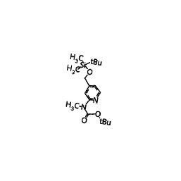 CN(C(=O)OC(C)(C)C)c1cc(CO[Si](C)(C)C(C)(C)C)ccn1